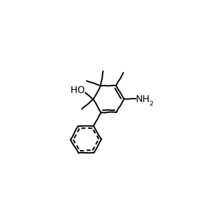 CC1=C(N)C=C(c2ccccc2)C(C)(O)C1(C)C